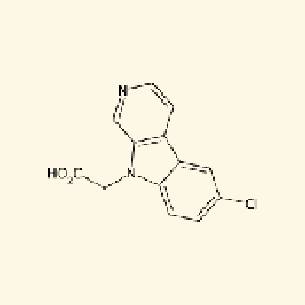 O=C(O)Cn1c2ccc(Cl)cc2c2ccncc21